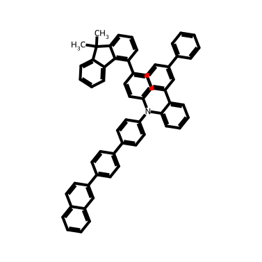 CC1(C)c2ccccc2-c2c(-c3ccc(N(c4ccc(-c5ccc(-c6ccc7ccccc7c6)cc5)cc4)c4ccccc4-c4cccc(-c5ccccc5)c4)cc3)cccc21